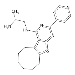 C[C@@H](N)CNc1nc(-c2ccncc2)nc2sc3c(c12)CCCCCC3